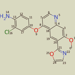 COc1cc2nccc(Oc3ccc(N)c(Cl)c3)c2cc1-c1ncco1